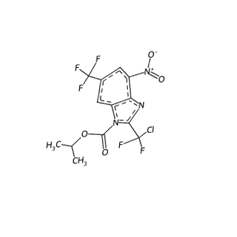 CC(C)OC(=O)n1c(C(F)(F)Cl)nc2c([N+](=O)[O-])cc(C(F)(F)F)cc21